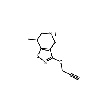 C#CCOc1nsc2c1CNCC2C